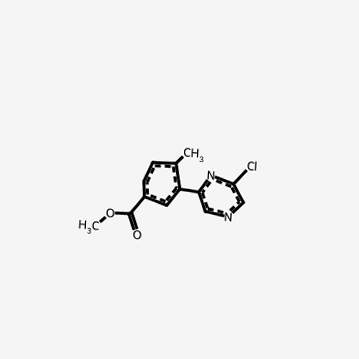 COC(=O)c1ccc(C)c(-c2cncc(Cl)n2)c1